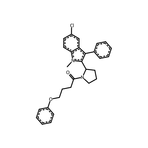 Cn1c(C2CCCN2C(=O)CCCOc2ccccc2)c(-c2ccccc2)c2cc(Cl)ccc21